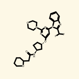 O=C(CC1CCCCO1)N[C@H]1CC[C@H](Oc2cc(-n3c(C(F)F)nc4ccccc43)nc(N3CCOCC3)n2)C1